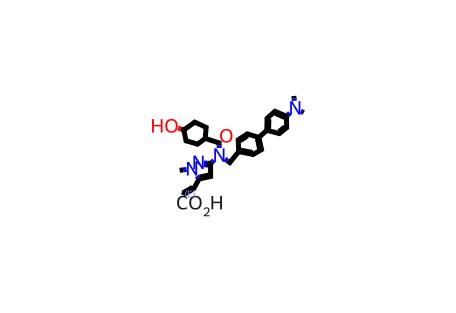 CN(C)c1ccc(-c2ccc(CN(C(=O)C3CCC(O)CC3)c3cc(/C=C/C(=O)O)n(C)n3)cc2)cc1